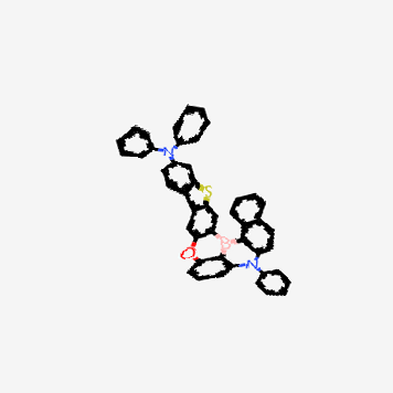 c1ccc(N(c2ccccc2)c2ccc3c(c2)sc2cc4c(cc23)Oc2cccc3c2B4c2c(ccc4ccccc24)N3c2ccccc2)cc1